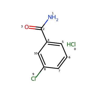 Cl.NC(=O)c1cccc(Cl)c1